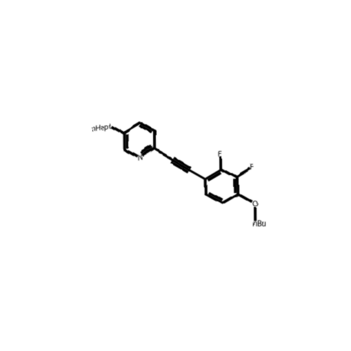 CCCCCCCc1ccc(C#Cc2ccc(OCCCC)c(F)c2F)nc1